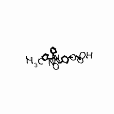 Cc1cccc(-c2nc(=O)n(CC3CCC(COCC(=O)O)CC3)nc2-c2ccccc2)c1